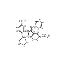 Cl.O=C(O)c1ccc2c(C3CCCCC3)c(-c3ccccc3)n(Cc3ccccn3)c2c1